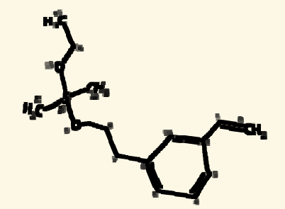 C=Cc1cccc(CCO[Si](C)(C)OCC)c1